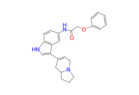 O=C(COc1ccccc1)Nc1ccc2[nH]cc(C3=CCN4CCCC4C3)c2c1